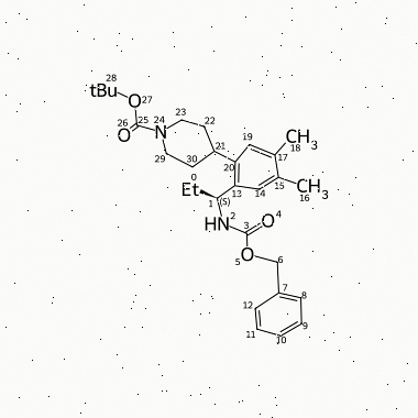 CC[C@H](NC(=O)OCc1ccccc1)c1cc(C)c(C)cc1C1CCN(C(=O)OC(C)(C)C)CC1